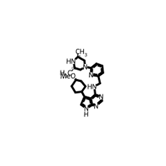 COC1CCC(c2c[nH]c3ncnc(NCc4cccc(N5C[C@@H](C)N[C@@H](C)C5)n4)c23)CC1